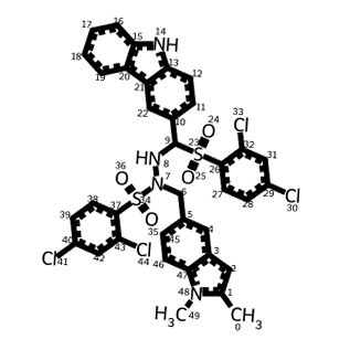 Cc1cc2cc(CN(NC(c3ccc4[nH]c5ccccc5c4c3)S(=O)(=O)c3ccc(Cl)cc3Cl)S(=O)(=O)c3ccc(Cl)cc3Cl)ccc2n1C